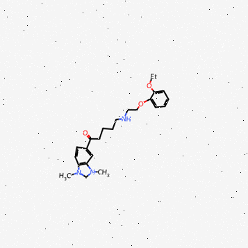 CCOc1ccccc1OCCNCCCCC(=O)c1ccc2c(c1)N(C)[CH]N2C